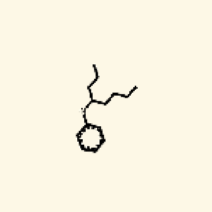 CCCCC(CCC)[N]c1ccccc1